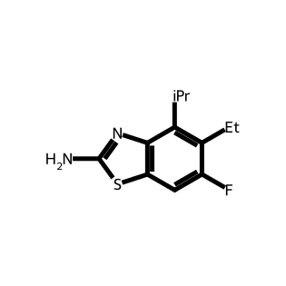 CCc1c(F)cc2sc(N)nc2c1C(C)C